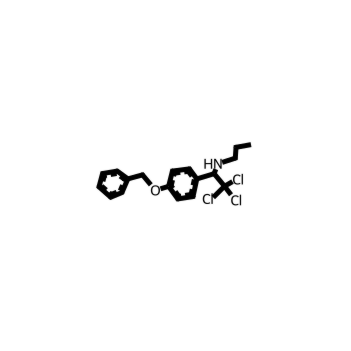 CCCNC(c1ccc(OCc2ccccc2)cc1)C(Cl)(Cl)Cl